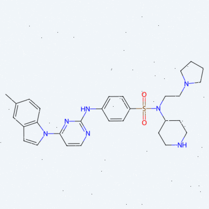 Cc1ccc2c(ccn2-c2ccnc(Nc3ccc(S(=O)(=O)N(CCN4CCCC4)C4CCNCC4)cc3)n2)c1